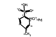 Cc1ccc(S(=O)(=O)O)cc1.Cl.[Pd]